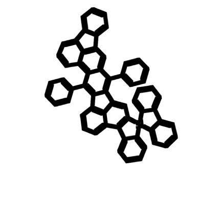 c1ccc(-c2c3cc4c5ccccc5c5cccc(c3c(-c3ccccc3)c3c6cccc7c8c(cc(c23)c76)[Si]2(c3ccccc3-c3ccccc32)c2ccccc2-8)c54)cc1